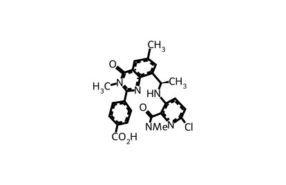 CNC(=O)c1nc(Cl)ccc1N[C@H](C)c1cc(C)cc2c(=O)n(C)c(-c3ccc(C(=O)O)cc3)nc12